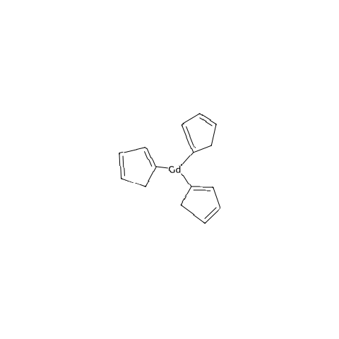 C1=CC[C]([Gd]([C]2=CC=CC2)[C]2=CC=CC2)=C1